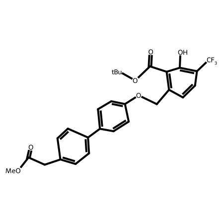 COC(=O)Cc1ccc(-c2ccc(OCc3ccc(C(F)(F)F)c(O)c3C(=O)OC(C)(C)C)cc2)cc1